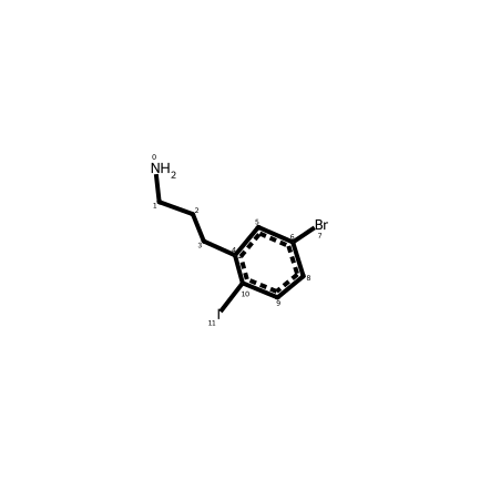 NCCCc1cc(Br)ccc1I